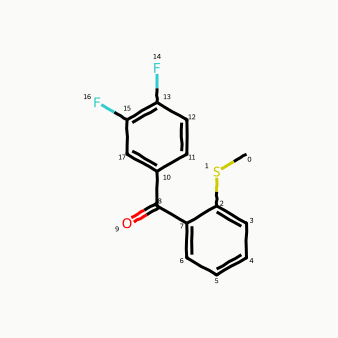 CSc1ccccc1C(=O)c1ccc(F)c(F)c1